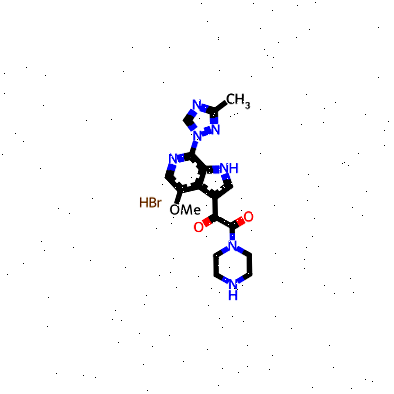 Br.COc1cnc(-n2cnc(C)n2)c2[nH]cc(C(=O)C(=O)N3CCNCC3)c12